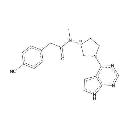 CN(C(=O)Cc1ccc(C#N)cc1)[C@@H]1CCN(c2ncnc3[nH]ccc23)C1